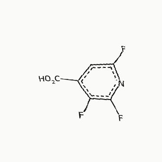 O=C(O)c1cc(F)nc(F)c1F